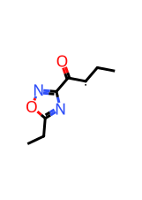 CC[CH]C(=O)c1noc(CC)n1